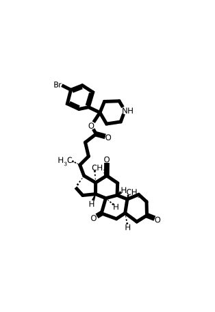 C[C@H](CCC(=O)OC1(c2ccc(Br)cc2)CCNCC1)[C@H]1CC[C@H]2[C@@H]3C(=O)C[C@@H]4CC(=O)CC[C@]4(C)[C@H]3CC(=O)[C@]12C